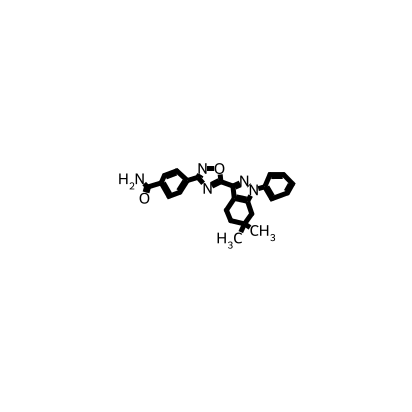 CC1(C)CCc2c(-c3nc(-c4ccc(C(N)=O)cc4)no3)nn(-c3ccccc3)c2C1